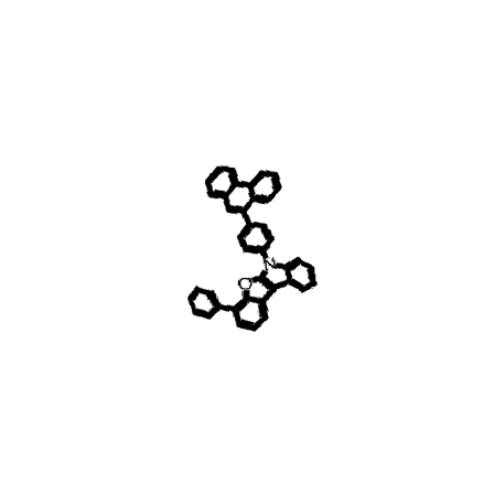 c1ccc(-c2cccc3c2oc2c3c3ccccc3n2-c2ccc(-c3cc4ccccc4c4ccccc34)cc2)cc1